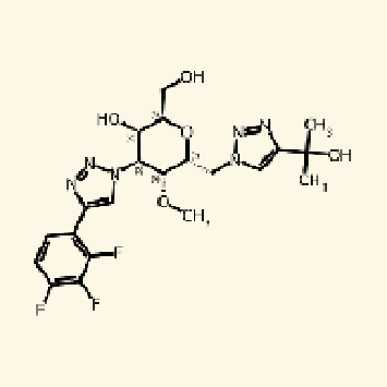 CO[C@@H]1[C@@H](n2cc(-c3ccc(F)c(F)c3F)nn2)[C@@H](O)[C@@H](CO)O[C@@H]1Cn1cc(C(C)(C)O)nn1